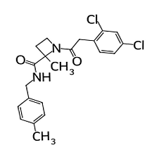 Cc1ccc(CNC(=O)C2(C)CCN2C(=O)Cc2ccc(Cl)cc2Cl)cc1